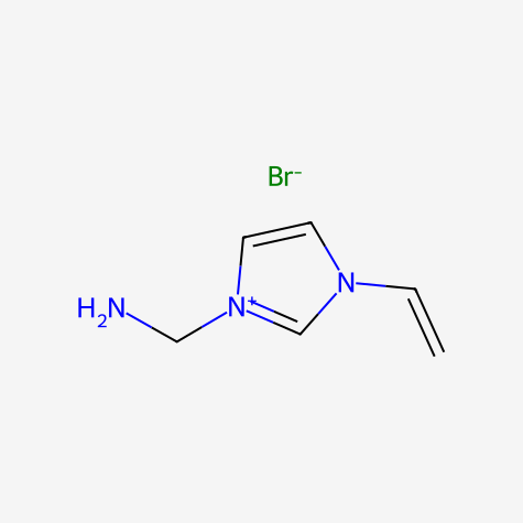 C=Cn1cc[n+](CN)c1.[Br-]